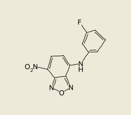 O=[N+]([O-])c1ccc(Nc2cccc(F)c2)c2nonc12